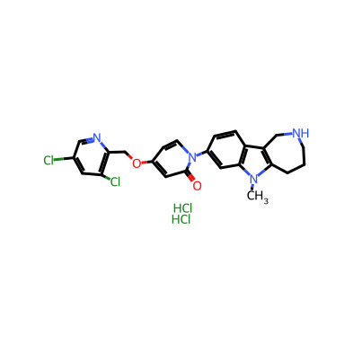 Cl.Cl.Cn1c2c(c3ccc(-n4ccc(OCc5ncc(Cl)cc5Cl)cc4=O)cc31)CNCCC2